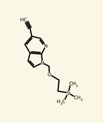 C#Cc1cnc2c(ccn2COCC[Si](C)(C)C)c1